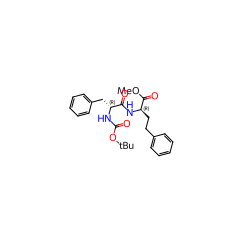 COC(=O)[C@@H](CCc1ccccc1)NC(=O)[C@@H](Cc1ccccc1)NC(=O)OC(C)(C)C